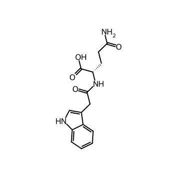 NC(=O)CC[C@H](NC(=O)Cc1c[nH]c2ccccc12)C(=O)O